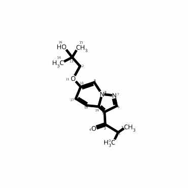 CC(C)C(=O)c1cnn2cc(OCC(C)(C)O)ccc12